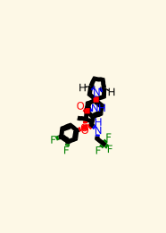 CC(C)(Oc1ccc(F)c(F)c1)C(=O)N[C@H]1C[C@H]2CC[C@@H](C1)N2c1ccc(C(=O)NCC(F)(F)F)cc1